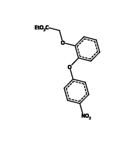 CCOC(=O)COc1ccccc1Oc1ccc([N+](=O)[O-])cc1